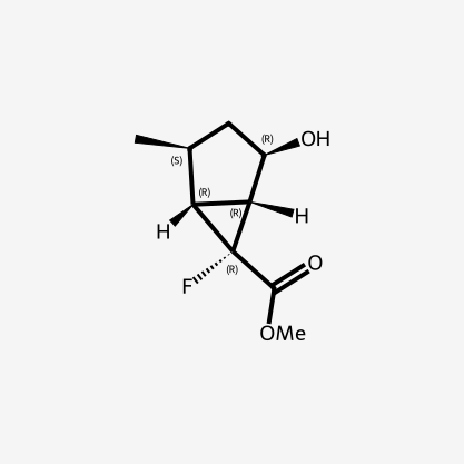 COC(=O)[C@]1(F)[C@@H]2[C@H]1[C@@H](C)C[C@H]2O